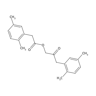 Cc1ccc(C)c(CC(=O)COC(=O)Cc2cc(C)ccc2C)c1